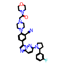 N#Cc1cc(-c2cnc3ccc(N4CCCC4c4cccc(F)c4)nn23)ccc1N1CCN(CC(=O)N2CCOCC2)CC1